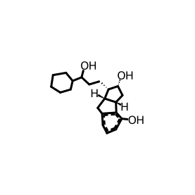 Oc1cccc2c1[C@H]1C[C@@H](O)[C@@H](CCC(O)C3CCCCC3)[C@H]1C2